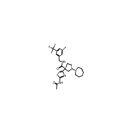 CC(=O)Nc1nc(C2(C(=O)NCc3cc(C)cc(C(F)(F)F)c3)CCC(N3CCCCCC3)C2)cs1